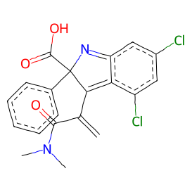 C=C(C(=O)N(C)C)C1=c2c(Cl)cc(Cl)cc2=NC1(C(=O)O)c1ccccc1